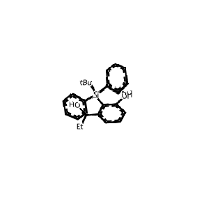 CCC(O)c1cccc(O)c1[Si](c1ccccc1)(c1ccccc1)C(C)(C)C